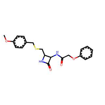 COc1ccc(CSCC2NC(=O)C2NC(=O)COc2ccccc2)cc1